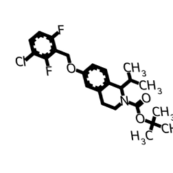 CC(C)C1c2ccc(OCc3c(F)ccc(Cl)c3F)cc2CCN1C(=O)OC(C)(C)C